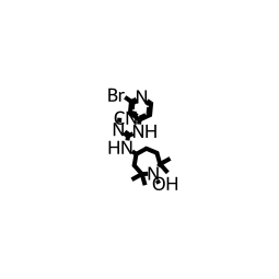 CC1(C)CCC(NC(=NC#N)Nc2ccnc(Br)c2)CC(C)(C)N1O